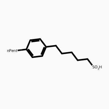 CCCCCc1ccc(CCCCCS(=O)(=O)O)cc1